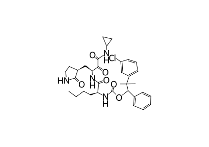 CCCC[C@H](NC(=O)OC(c1ccccc1)C(C)(C)c1cccc(Cl)c1)C(=O)N[C@@H](C[C@@H]1CCNC1=O)C(=O)C(=O)NC1CC1